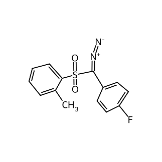 Cc1ccccc1S(=O)(=O)C(=[N+]=[N-])c1ccc(F)cc1